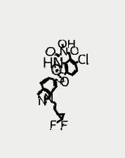 O=c1[nH]c2c(S(=O)(=O)c3ccc4cnn(CCC5CC5(F)F)c4c3)ccc(Cl)c2c(=O)n1O